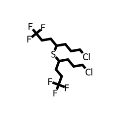 FC(F)(F)CCC(CCCCl)SC(CCCCl)CCC(F)(F)F